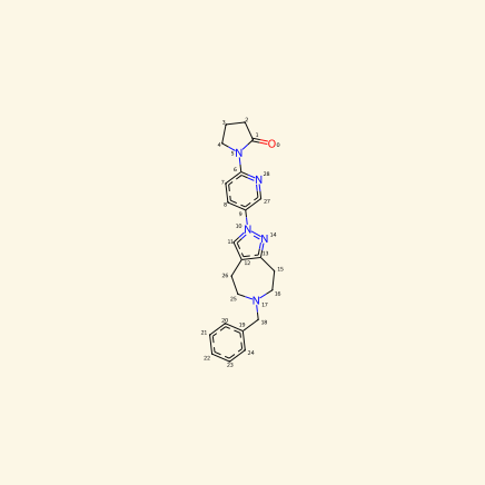 O=C1CCCN1c1ccc(-n2cc3c(n2)CCN(Cc2ccccc2)CC3)cn1